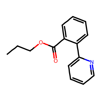 CCCOC(=O)c1ccccc1-c1ccccn1